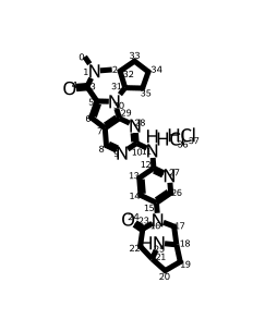 CN(C)C(=O)c1cc2cnc(Nc3ccc(N4CC5CCC(CC4=O)N5)cn3)nc2n1C1CCCC1.Cl.Cl